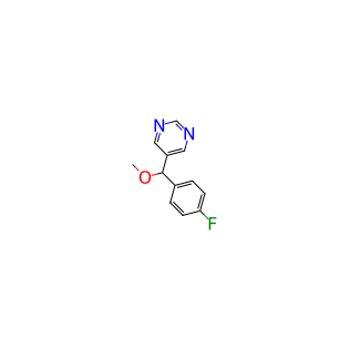 COC(c1ccc(F)cc1)c1cncnc1